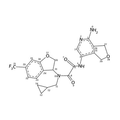 Nc1ncc(NC(=O)C(=O)N(CC2CC2)C2COc3cc(C(F)(F)F)ccc32)c2c1COC2